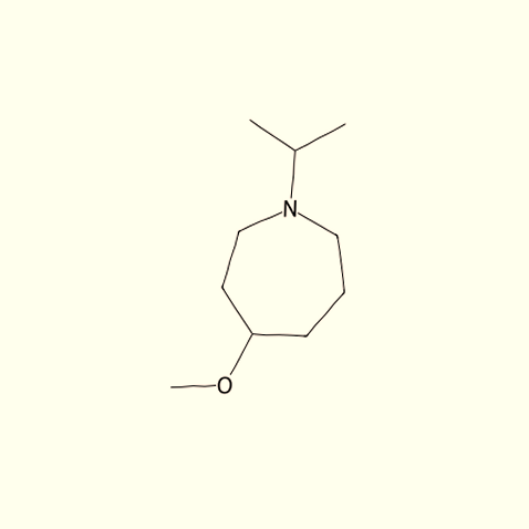 COC1CCCN(C(C)C)CC1